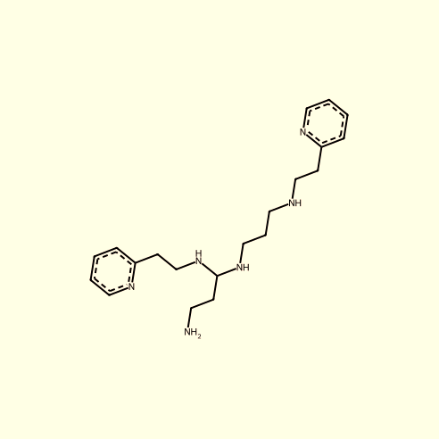 NCCC(NCCCNCCc1ccccn1)NCCc1ccccn1